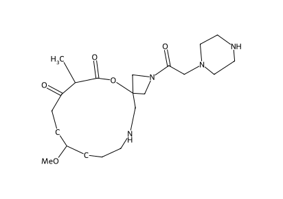 COC1CCCNCC2(CN(C(=O)CN3CCNCC3)C2)OC(=O)C(C)C(=O)CC1